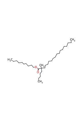 CCCCCCCCCCCCCCCCC(C)(CCCCC)C(=O)OCCCCCCCCCC